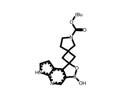 CC(C)(C)OC(=O)N1CCC2(C1)CC1(C2)OB(O)c2cnc3[nH]ccc3c21